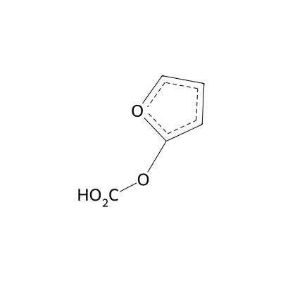 O=C(O)Oc1ccco1